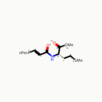 CCCCCC=CC(=O)N[C@@H](CCSC)C(=O)OC